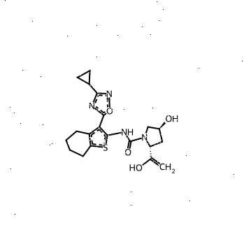 C=C(O)[C@H]1C[C@H](O)CN1C(=O)Nc1sc2c(c1-c1nc(C3CC3)no1)CCCC2